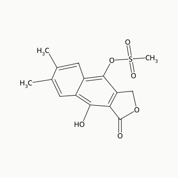 Cc1cc2c(O)c3c(c(OS(C)(=O)=O)c2cc1C)COC3=O